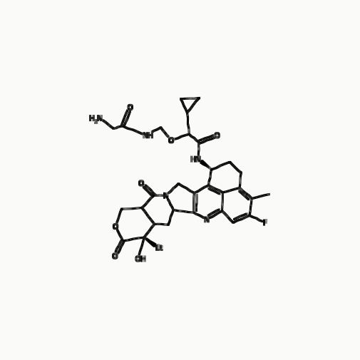 CC[C@@]1(O)C(=O)OCC2C(=O)N3Cc4c(nc5cc(F)c(C)c6c5c4[C@@H](NC(=O)C(OCNC(=O)CN)C4CC4)CC6)C3CC21